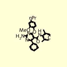 CCCc1ccc(Oc2nc(N)nc(-c3ccccc3)c2C(=O)Nc2c(C)cccc2C)c(OC)c1